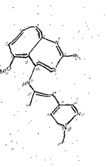 COc1cccc2nc(N)nc(NC(C)=Cc3cnn(C)c3)c12